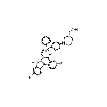 CC1(C)c2cc(F)ccc2-c2c1c1c(c3cc(F)ccc23)O[C@](c2ccccc2)(c2ccc(N3CCCC(CO)C3)cc2)C=C1